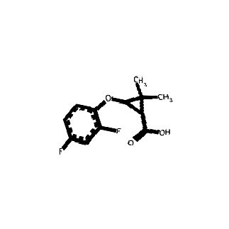 CC1(C)C(Oc2ccc(F)cc2F)C1C(=O)O